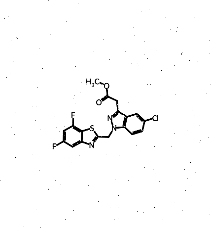 COC(=O)Cc1nn(Cc2nc3cc(F)cc(F)c3s2)c2ccc(Cl)cc12